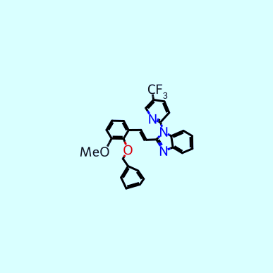 COc1cccc(C=Cc2nc3ccccc3n2-c2ccc(C(F)(F)F)cn2)c1OCc1ccccc1